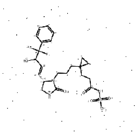 CS(=O)(=O)NC(=O)CCC1(CCCN2C(=O)NC[C@@H]2C=CC(O)C(F)(F)c2ccccc2)CC1